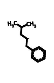 CC(C)C[CH]Cc1ccccc1